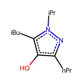 CCCc1nn(C(C)C)c(C(C)CC)c1O